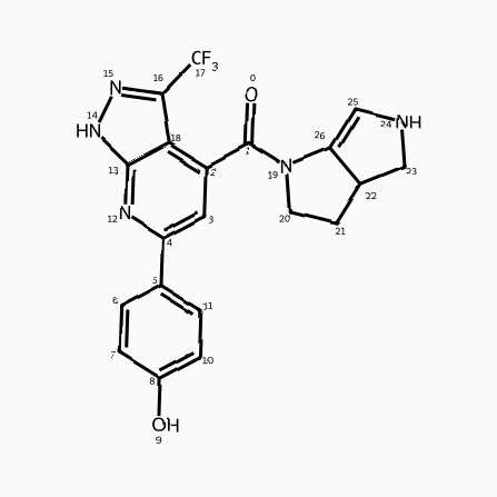 O=C(c1cc(-c2ccc(O)cc2)nc2[nH]nc(C(F)(F)F)c12)N1CCC2CNC=C21